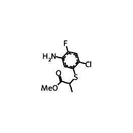 COC(=O)C(C)Sc1cc(N)c(F)cc1Cl